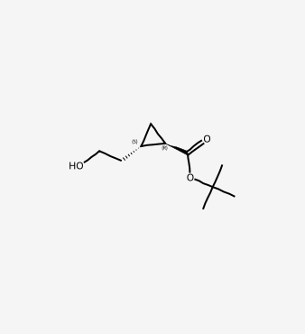 CC(C)(C)OC(=O)[C@@H]1C[C@H]1CCO